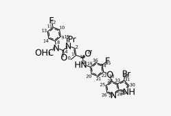 C/C(=C\N(C(=O)N(C=O)c1ccc(F)cc1)C(C)C)C(=O)Nc1ccc(Oc2ccnc3[nH]cc(Br)c23)c(F)c1